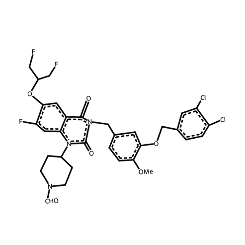 COc1ccc(Cn2c(=O)c3cc(OC(CF)CF)c(F)cc3n(C3CCN(C=O)CC3)c2=O)cc1OCc1ccc(Cl)c(Cl)c1